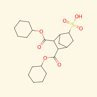 O=C(OC1CCCCC1)C1C2CC(C1C(=O)OC1CCCCC1)C(S(=O)(=O)O)C2